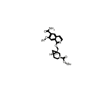 CC(C)Oc1cc2c(OC[C@]34C[C@H]3CCN(C(=O)OC(C)(C)C)C4)nccc2cc1C(N)=O